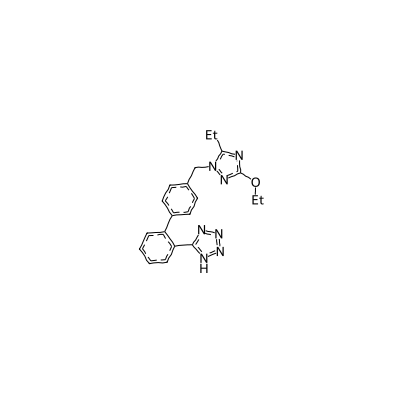 CCOc1nc(CC)n(Cc2ccc(-c3ccccc3-c3nnn[nH]3)cc2)n1